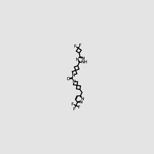 O=C(N1CC2(CC(Cc3ccc(C(F)(F)F)nn3)C2)C1)N1CC2(CC(c3nc(C4CC(F)(F)C4)n[nH]3)C2)C1